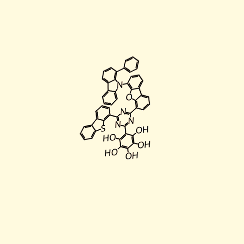 Oc1c(O)c(O)c(-c2nc(-c3cccc4c3oc3c(-n5c6ccccc6c6cccc(-c7ccccc7)c65)cccc34)nc(-c3cccc4c3sc3ccccc34)n2)c(O)c1O